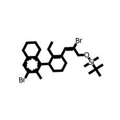 CCC1=C(/C=C(/Br)CO[Si](C)(C)C(C)(C)C)CCCC1c1c(C)c(Br)cc2c1CCCC2